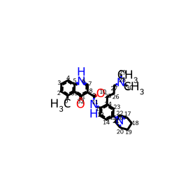 Cc1cccc2[nH]cc(C(=O)Nc3ccc(N4C5CCC4CC5)cc3CCCN(C)C)c(=O)c12